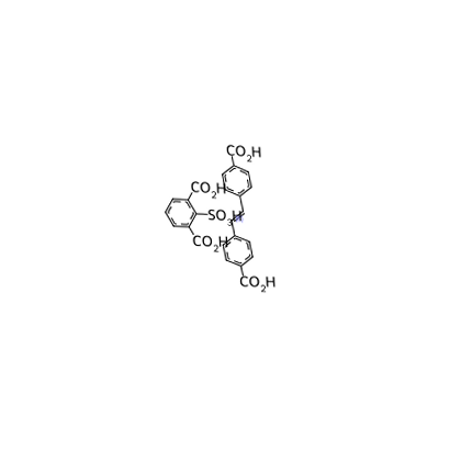 O=C(O)c1ccc(/C=C/c2ccc(C(=O)O)cc2)cc1.O=C(O)c1cccc(C(=O)O)c1S(=O)(=O)O